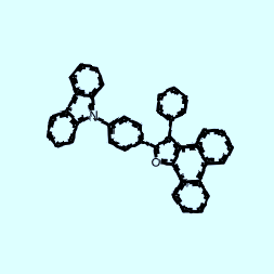 c1ccc(-c2c(-c3ccc(-n4c5ccccc5c5ccccc54)cc3)oc3c4ccccc4c4ccccc4c23)cc1